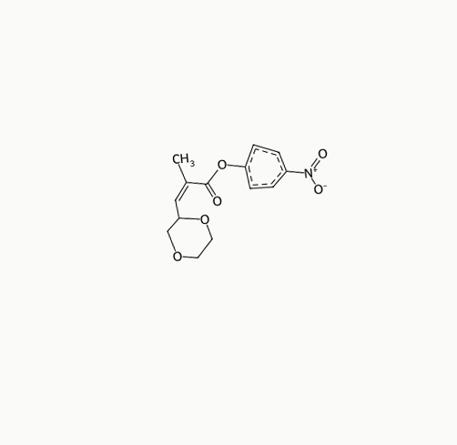 CC(=CC1COCCO1)C(=O)Oc1ccc([N+](=O)[O-])cc1